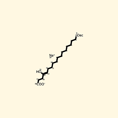 CCCCCCCCCCCCCCCCCCCCCCC=C(O)CCC(=O)[O-].[Na+]